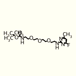 Cc1cc(F)nc(NCCOCCOCCOCCNC(=O)OC(C)(C)C)n1